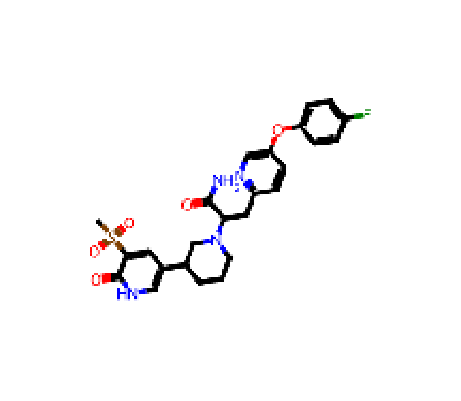 CS(=O)(=O)c1cc(C2CCCN(C(Cc3ccc(Oc4ccc(F)cc4)cn3)C(N)=O)C2)c[nH]c1=O